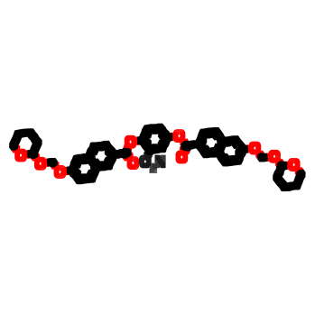 O=C(Oc1ccc(OC(=O)c2ccc3cc(OCOC4CCCCO4)ccc3c2)c([N+](=O)[O-])c1)c1ccc2cc(OCOC3CCCCO3)ccc2c1